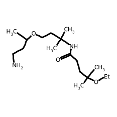 CCOC(C)(C)CCC(=O)NC(C)(C)CCOC(C)CCN